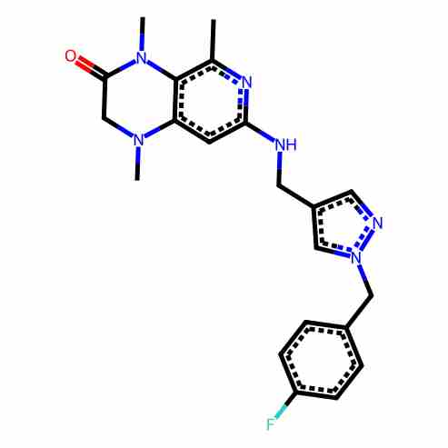 Cc1nc(NCc2cnn(Cc3ccc(F)cc3)c2)cc2c1N(C)C(=O)CN2C